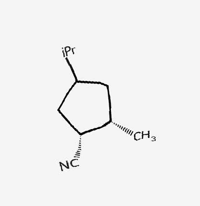 CC(C)C1C[C@@H](C#N)[C@@H](C)C1